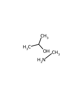 CC(C)O.CN